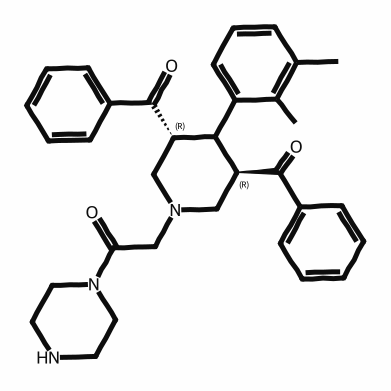 Cc1cccc(C2[C@@H](C(=O)c3ccccc3)CN(CC(=O)N3CCNCC3)C[C@@H]2C(=O)c2ccccc2)c1C